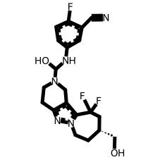 N#Cc1cc(NC(O)N2CCc3nn4c(c3C2)C(F)(F)C[C@H](CO)CC4)ccc1F